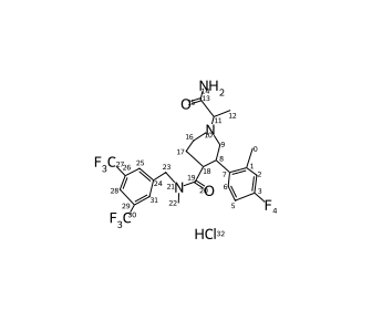 Cc1cc(F)ccc1C1CN(C(C)C(N)=O)CCC1C(=O)N(C)Cc1cc(C(F)(F)F)cc(C(F)(F)F)c1.Cl